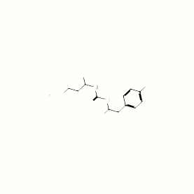 O=C(O)CCC(NC(=O)NC(Cc1ccc(F)cc1)C(=O)O)C(=O)O